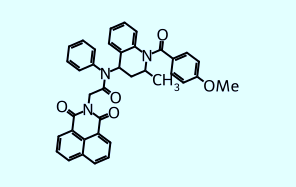 COc1ccc(C(=O)N2c3ccccc3C(N(C(=O)CN3C(=O)c4cccc5cccc(c45)C3=O)c3ccccc3)CC2C)cc1